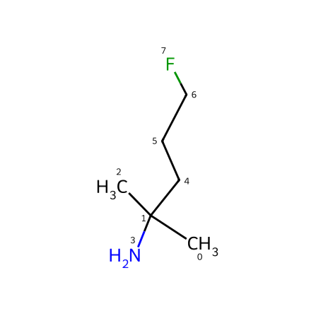 CC(C)(N)CCCF